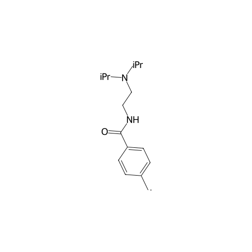 [CH2]c1ccc(C(=O)NCCN(C(C)C)C(C)C)cc1